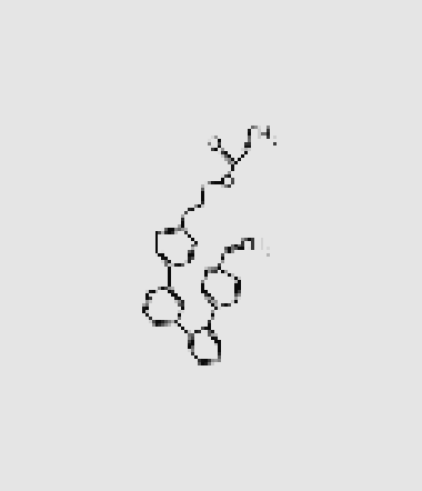 C=CC(=O)OCCCc1ccc(-c2cccc(-c3ccccc3-c3ccc(C=C)cc3)c2)cc1